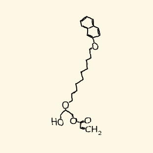 C=CC(=O)OCC(CO)OCCCCCCCCCCOc1ccc2ccccc2c1